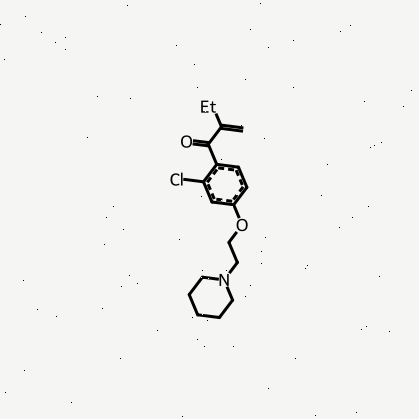 C=C(CC)C(=O)c1ccc(OCCN2CCCCC2)cc1Cl